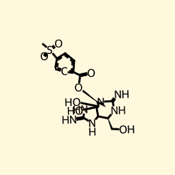 CS(=O)(=O)c1ccc(C(=O)O[C@H]2CN3C(=N)N[C@@H](CO)C4NC(=N)N[C@@]43C2(O)O)cc1